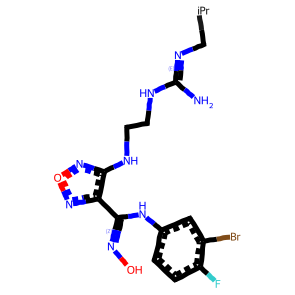 CC(C)C/N=C(\N)NCCNc1nonc1/C(=N/O)Nc1ccc(F)c(Br)c1